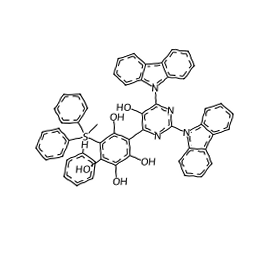 C[SH](c1ccccc1)(c1ccccc1)(c1ccccc1)c1c(O)c(O)c(O)c(-c2nc(-n3c4ccccc4c4ccccc43)nc(-n3c4ccccc4c4ccccc43)c2O)c1O